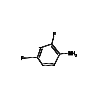 Nc1ccc(F)[c]c1F